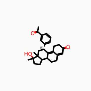 CC(=O)c1cccc([C@H]2CC3(C)C(CCC3(C)O)C3CCC4=CC(=O)CCC4=C32)c1